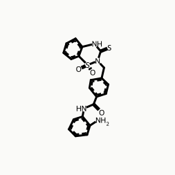 Nc1ccccc1NC(=O)c1ccc(CN2C(=S)Nc3ccccc3S2(=O)=O)cc1